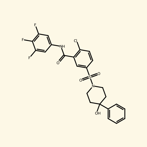 O=C(Nc1cc(F)c(F)c(F)c1)c1cc(S(=O)(=O)N2CCC(O)(c3ccccc3)CC2)ccc1Cl